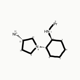 CC(C)N[C@H]1CCCC[C@@H]1N1CC[C@H](C#N)C1